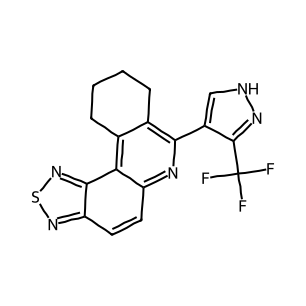 FC(F)(F)c1n[nH]cc1-c1nc2ccc3nsnc3c2c2c1CCCC2